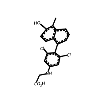 Cc1c(O)ccc2c(-c3c(Cl)cc(NCC(=O)O)cc3Cl)cccc12